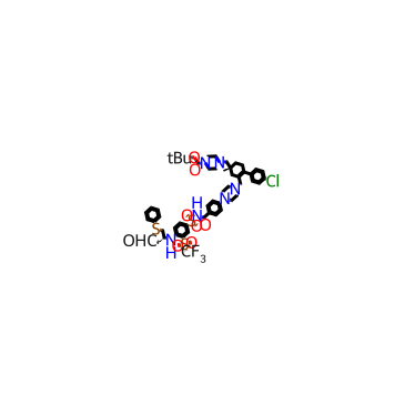 CC(C)(C)OC(=O)N1CCN(C[C@]2(C)CCC(c3ccc(Cl)cc3)=C(CN3CCN(c4ccc(C(=O)NS(=O)(=O)c5ccc(N[C@H](CC=O)CSc6ccccc6)c(S(=O)(=O)C(F)(F)F)c5)cc4)CC3)C2)CC1